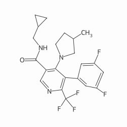 CC1CCN(c2c(C(=O)NCC3CC3)cnc(C(F)(F)F)c2-c2cc(F)cc(F)c2)C1